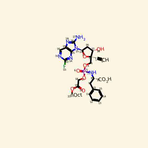 C#C[C@]1(COP(=O)(N[C@@H](Cc2ccccc2)C(=O)O)OCC(=O)OCCCCCCCC)O[C@@H](n2c(N)nc3cnc(F)nc32)C[C@@H]1O